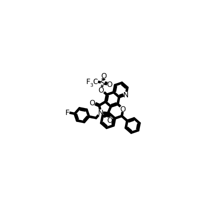 O=C1c2c(c(OC(c3ccccc3)c3ccccc3)c3ncccc3c2OS(=O)(=O)C(F)(F)F)C(=O)N1Cc1ccc(F)cc1